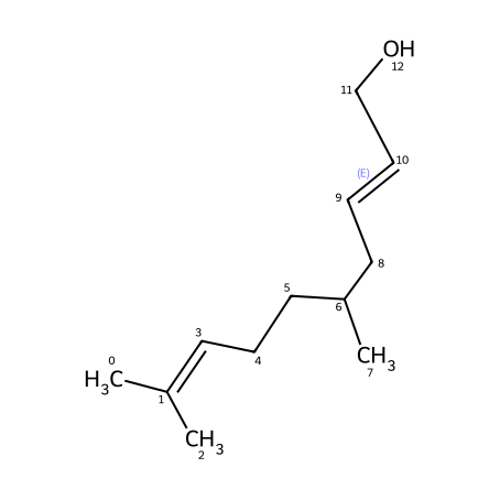 CC(C)=CCCC(C)C/C=C/CO